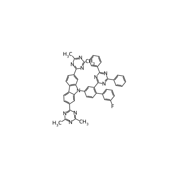 Cc1nc(C)nc(-c2ccc3c4ccc(-c5nc(C)nc(C)n5)cc4n(-c4ccc(-c5cccc(F)c5)c(-c5nc(-c6ccccc6)nc(-c6ccccc6)n5)c4)c3c2)n1